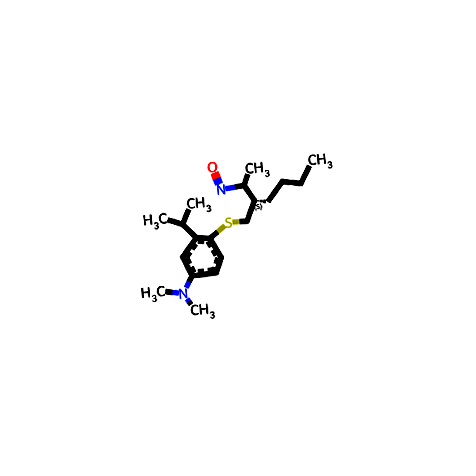 CCCC[C@H](CSc1ccc(N(C)C)cc1C(C)C)C(C)N=O